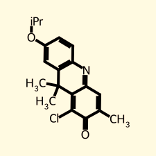 CC1=CC2=Nc3ccc(OC(C)C)cc3C(C)(C)C2=C(Cl)C1=O